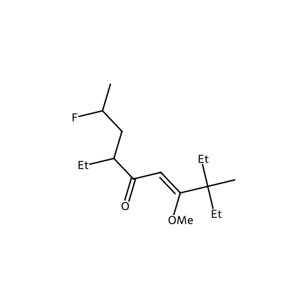 CCC(CC(C)F)C(=O)/C=C(\OC)C(C)(CC)CC